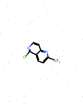 FC(F)(F)c1ccc2c(Cl)nccc2n1